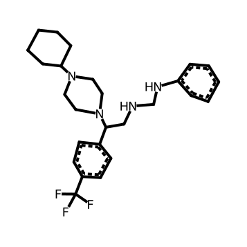 FC(F)(F)c1ccc(C(CNCNc2ccccc2)N2CCN(C3CCCCC3)CC2)cc1